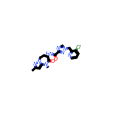 Cc1cc2n(n1)CC[C@H](NC(=O)c1ncn(Cc3ncccc3Cl)n1)C(=O)N2C